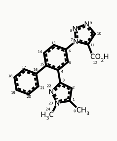 Cc1cc(-c2cc(-n3nncc3C(=O)O)ccc2-c2ccccc2)nn1C